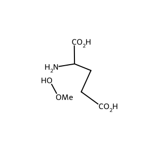 COO.NC(CCC(=O)O)C(=O)O